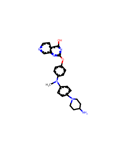 CN(c1ccc(Oc2nc(O)c3ccncc3n2)cc1)c1ccc(N2CCC(N)CC2)cc1